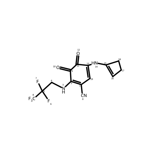 N#CC1=C(NCC(F)(F)C(F)(F)F)C(=O)C(=O)C(NC2=CCC2)=C1